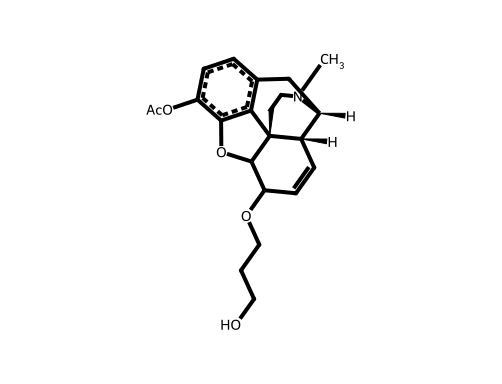 CC(=O)Oc1ccc2c3c1OC1C(OCCCO)C=C[C@H]4[C@@H](C2)N(C)CC[C@]314